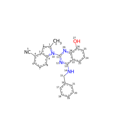 Cc1cc2c(C#N)cccc2n1-c1nc(NCc2ccccc2)c2cccc(O)c2n1